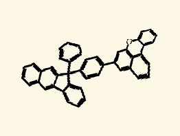 c1ccc(C2(c3ccc(-c4cc5c6c(cccc6c4)-c4ccccc4O5)cc3)c3ccccc3-c3cc4ccccc4cc32)cc1